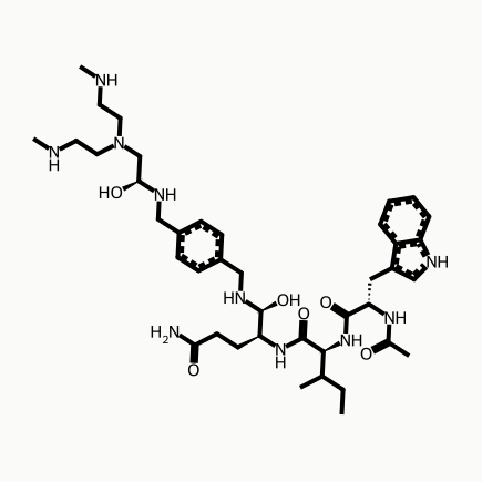 CCC(C)[C@H](NC(=O)[C@H](Cc1c[nH]c2ccccc12)NC(C)=O)C(=O)N[C@@H](CCC(N)=O)[C@H](O)NCc1ccc(CN[C@@H](O)CN(CCNC)CCNC)cc1